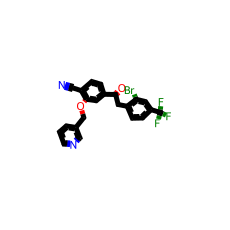 N#Cc1ccc(C(=O)Cc2ccc(C(F)(F)F)cc2Br)cc1OCc1cccnc1